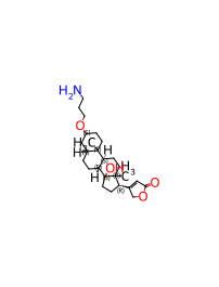 C[C@]12CC[C@H](OCCCN)C[C@H]1CC[C@@H]1[C@@H]2CC[C@]2(C)[C@@H](C3=CC(=O)OC3)CC[C@]12O